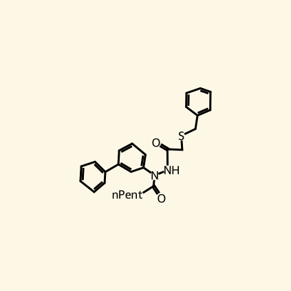 CCCCCC(=O)N(NC(=O)CSCc1ccccc1)c1cccc(-c2ccccc2)c1